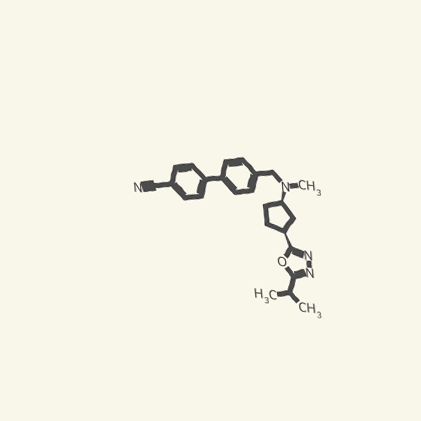 CC(C)c1nnc([C@H]2CC[C@@H](N(C)Cc3ccc(-c4ccc(C#N)cc4)cc3)C2)o1